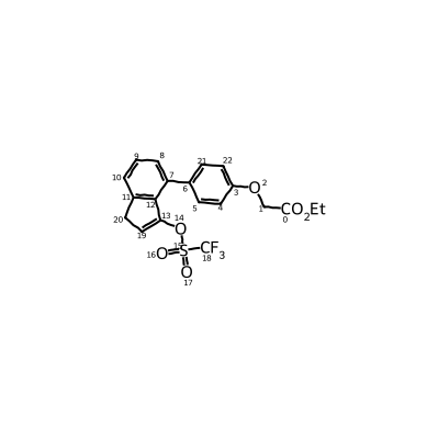 CCOC(=O)COc1ccc(-c2cccc3c2C(OS(=O)(=O)C(F)(F)F)=CC3)cc1